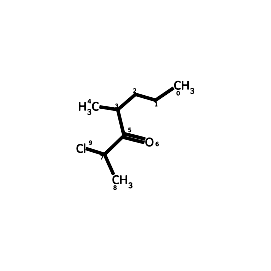 CCCC(C)C(=O)C(C)Cl